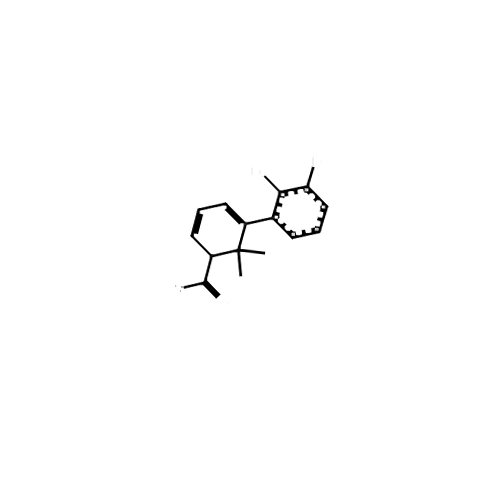 CCc1cccc(C2=CC=CC(C(N)=O)C2(C)C)c1CC